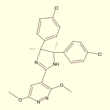 COc1cc(C2=N[C@@](C)(c3ccc(Cl)cc3)[C@@](C)(c3ccc(Cl)cc3)N2)c(OC)nn1